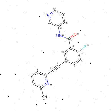 N#Cc1cccc(C#Cc2ccc(F)c(C(=O)Nc3cccnc3)c2)n1